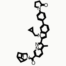 Cc1c(-c2cc3ccc(-c4ccc(N5CCCC5=O)cc4)cc3n2CC2CC2)nn2cc(C(=O)N3CC4CC5CC3[C@H]54)ccc12